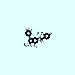 Cc1ccc(B2CC(C)(C)c3ccc(NC(=O)c4ccc(F)cc4C(F)(F)F)cc32)cc1